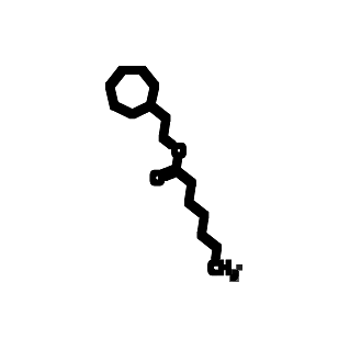 [CH2]CCCCCC(=O)OCCC1CCCCCC1